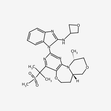 C[C@@H]1COC[C@@H]2CCOc3c(nc(-n4c(NC5COC5)nc5ccccc54)nc3C(C)(C)S(C)(=O)=O)N21